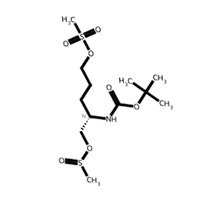 CS(=O)OC[C@H](CCCOS(C)(=O)=O)NC(=O)OC(C)(C)C